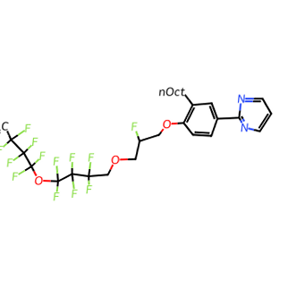 CCCCCCCCc1cc(-c2ncccn2)ccc1OCC(F)COCC(F)(F)C(F)(F)C(F)(F)OC(F)(F)C(F)(F)C(F)(F)C(F)(F)F